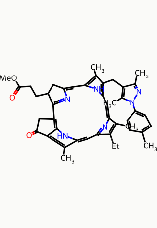 CCC1=C(C)c2cc3[nH]c(cc4nc(c5c6[nH]c(cc1n2)c(C)c6C(=O)C5)C(CCC(=O)OC)C4)c(C)c3Cc1c(C)nn(-c2ccc(C)cc2)c1C